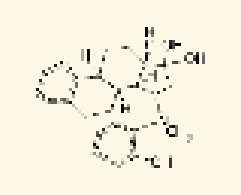 CN(c1ccccc1O)[C@H]1CC(O)(O)[C@@]2(C)CC[C@@H]3c4ccccc4CC[C@H]3[C@H]12